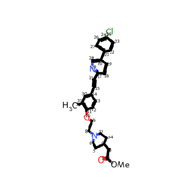 COC(=O)CC1CCN(CCOc2ccc(C#Cc3ccc(-c4ccc(Cl)cc4)cn3)cc2C)CC1